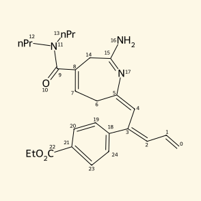 C=C/C=C(\C=C1/CC=C(C(=O)N(CCC)CCC)CC(N)=N1)c1ccc(C(=O)OCC)cc1